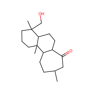 CC1CCC2C(CCC3C(C)(CO)CCCC23C)C(=O)C1